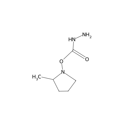 CC1CCCN1OC(=O)NN